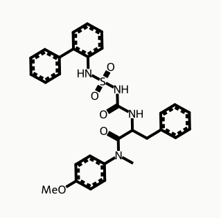 COc1ccc(N(C)C(=O)C(Cc2ccccc2)NC(=O)NS(=O)(=O)Nc2ccccc2-c2ccccc2)cc1